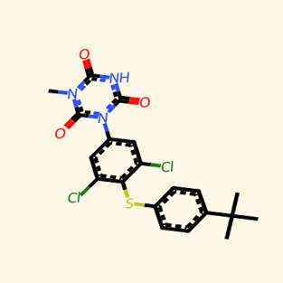 Cn1c(=O)[nH]c(=O)n(-c2cc(Cl)c(Sc3ccc(C(C)(C)C)cc3)c(Cl)c2)c1=O